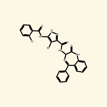 O=C(Nc1[nH]nc(C(=O)NC2N=C(c3ccccc3)c3ccccc3NC2=O)c1Br)c1ccccc1Cl